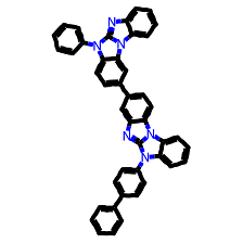 c1ccc(-c2ccc(-n3c4ccccc4n4c5ccc(-c6ccc7c(c6)n6c8ccccc8nc6n7-c6ccccc6)cc5nc34)cc2)cc1